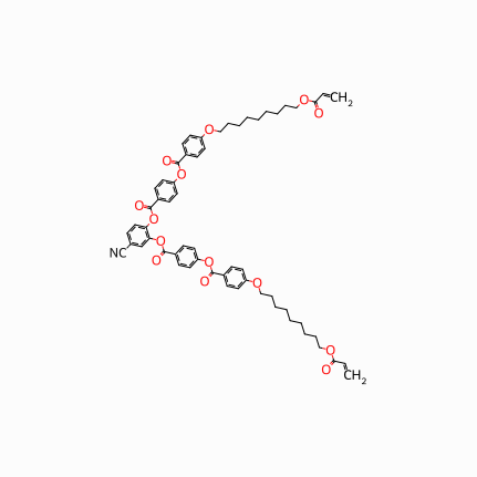 C=CC(=O)OCCCCCCCCCOc1ccc(C(=O)Oc2ccc(C(=O)Oc3ccc(C#N)cc3OC(=O)c3ccc(OC(=O)c4ccc(OCCCCCCCCCOC(=O)C=C)cc4)cc3)cc2)cc1